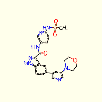 CS(=O)(=O)Nc1ccc(NC(=O)c2n[nH]c3ccc(-c4cncc(N5CCOCC5)c4)cc23)cn1